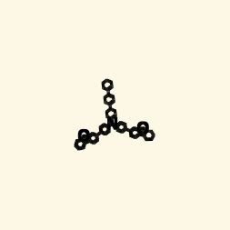 C1=Cc2c(oc3cc(-c4ccc(N(C5=CCC(C6=CC=C(C7=CCCCC7)CC6)CC5)c5ccc(-c6ccc7c(c6)oc6ccccc67)cc5)cc4)ccc23)CC1